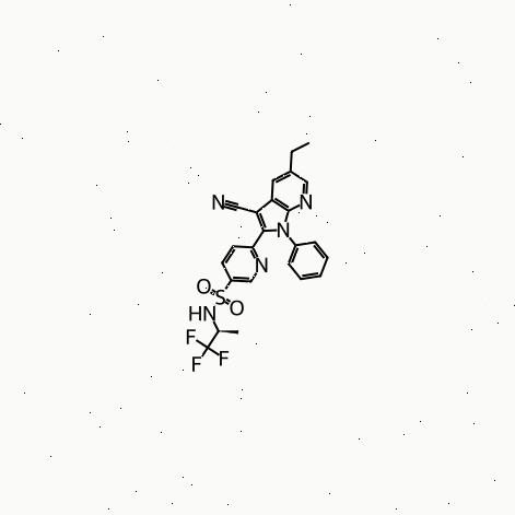 CCc1cnc2c(c1)c(C#N)c(-c1ccc(S(=O)(=O)N[C@@H](C)C(F)(F)F)cn1)n2-c1ccccc1